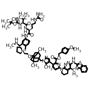 CNCc1cc(NC(=O)[C@H](CCCNC(N)=O)NC(=O)[C@@H](NC(=O)OC(C)(C)C)C(C)C)ccc1C[N+]1(CCOC23CC4(Cn5ncc(-c6ccc(N7CCCc8c7nnc(Nc7nc9ccccc9s7)c8C)nc6C(=O)OCc6ccc(OC)cc6)c5C)C[C@@](C)(C2)C[C@](C)(C4)C3)CCCC1